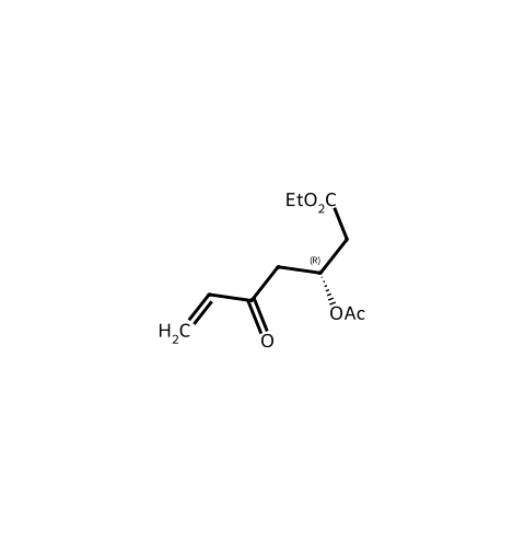 C=CC(=O)C[C@H](CC(=O)OCC)OC(C)=O